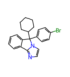 Brc1ccc(C2(C3CCCCC3)c3ccccc3-c3nccn32)cc1